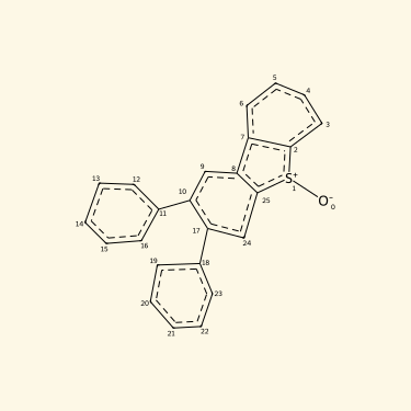 [O-][s+]1c2ccccc2c2cc(-c3ccccc3)c(-c3ccccc3)cc21